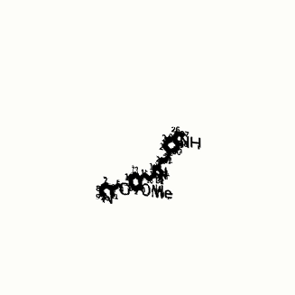 COc1cc(OCc2cccnc2)ccc1C=Cc1cc(C=Cc2ccc3cc[nH]c3c2)n[nH]1